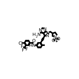 Cc1ccc(NC(=O)c2ccc(Cl)c(C(F)(F)F)c2)cc1C#Cc1nn(CC2CCN(S(C)(=O)=O)C2)c2ncnc(N)c12